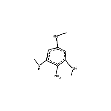 CNc1cc(NC)c(N)c(NC)c1